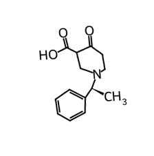 C[C@@H](c1ccccc1)N1CCC(=O)C(C(=O)O)C1